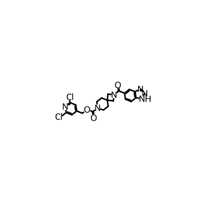 O=C(OCc1cc(Cl)nc(Cl)c1)N1CCC2(CC1)CN(C(=O)c1ccc3[nH]nnc3c1)C2